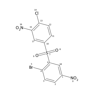 O=[N+]([O-])c1ccc(Br)c(S(=O)(=O)c2ccc(Cl)c([N+](=O)[O-])c2)c1